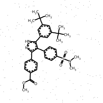 COC(=O)c1ccc(-c2n[nH]c(-c3cc(C(C)(C)C)cc(C(C)(C)C)c3)c2-c2ccc(S(=O)(=O)N(C)C)cc2)cc1